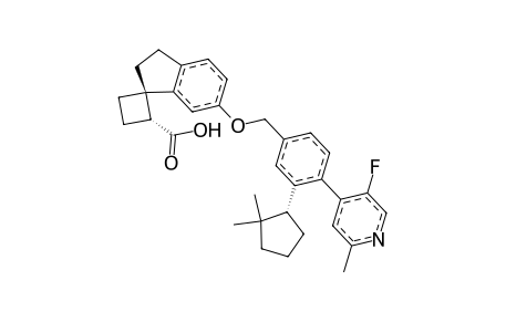 Cc1cc(-c2ccc(COc3ccc4c(c3)[C@@]3(CC4)CC[C@H]3C(=O)O)cc2[C@@H]2CCCC2(C)C)c(F)cn1